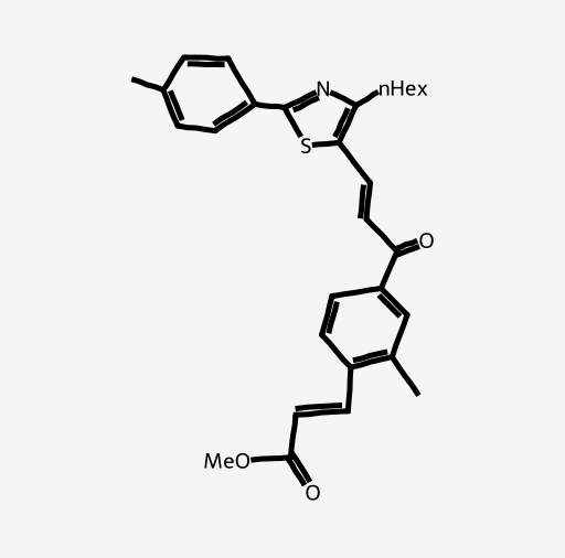 CCCCCCc1nc(-c2ccc(C)cc2)sc1C=CC(=O)c1ccc(C=CC(=O)OC)c(C)c1